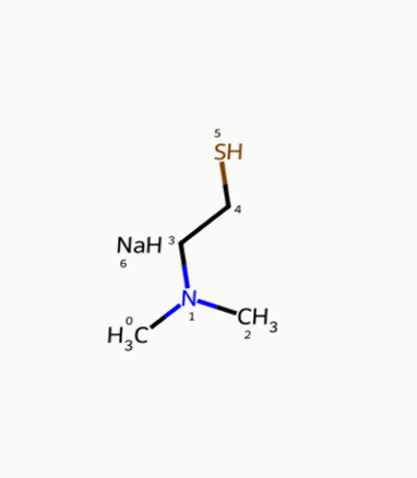 CN(C)CCS.[NaH]